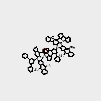 CC(C)(C)c1c2ccccc2c(C(C)(C)C)c2cc3c(cc12)B1c2c(cc4ccccc4c2-c2cccc4c5c(-c6c(-c7ccccc7)cc(N7c8cc9c(C(C)(C)C)c%10ccccc%10c(C(C)(C)C)c9cc8B8c9c7cc7c(oc%10ccccc%107)c9-c7cccc9c%10ccccc%10n8c79)cc6-c6ccccc6)cccc5n1c24)N3c1cc(-c2ccccc2)cc(-c2ccccc2)c1